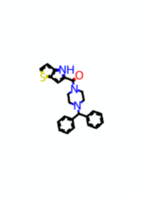 O=C(c1cc2sccc2[nH]1)N1CCN(C(c2ccccc2)c2ccccc2)CC1